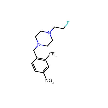 O=[N+]([O-])c1ccc(CN2CCN(CCF)CC2)c(C(F)(F)F)c1